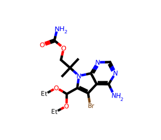 CCOC(OCC)c1c(Br)c2c(N)ncnc2n1C(C)(C)COC(N)=O